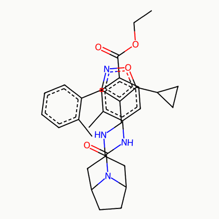 CCOC(=O)c1ccc(NC(=O)N2C3CCC2CC(NCc2c(-c4ccccc4C)noc2C2CC2)C3)c(C)c1